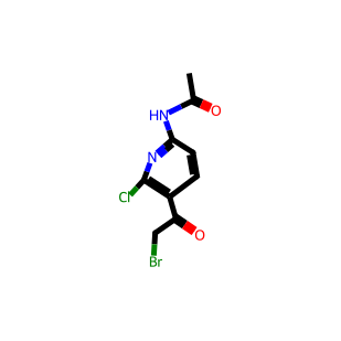 CC(=O)Nc1ccc(C(=O)CBr)c(Cl)n1